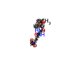 COC(=O)c1ccc(C(=O)NCCNC(=O)CCCCCN2C(=O)C=CC2=O)cc1P(c1ccccc1)c1ccccc1